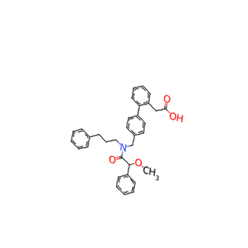 COC(C(=O)N(CCCc1ccccc1)Cc1ccc(-c2ccccc2CC(=O)O)cc1)c1ccccc1